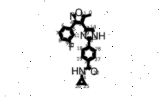 Cc1onc(-c2cccc(F)c2)c1-c1c[nH]c(-c2ccc(C(=O)NC3CC3)cc2)n1